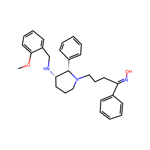 COc1ccccc1CN[C@H]1CCCN(CCC/C(=N\O)c2ccccc2)[C@H]1c1ccccc1